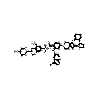 CC(C)c1ccccc1[C@H]1CCCN1C1CC2(CCN(c3ccc(C(=O)NS(=O)(=O)c4cc5c(c([N+](=O)[O-])c4)N[C@@H]([C@H]4CC[C@@H](O)CC4)CO5)c(Oc4cnc5[nH]cc(F)c5c4)c3)CC2)C1